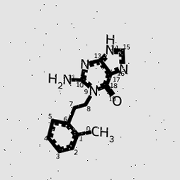 Cc1ccccc1CCn1c(N)nc2[nH]cnc2c1=O